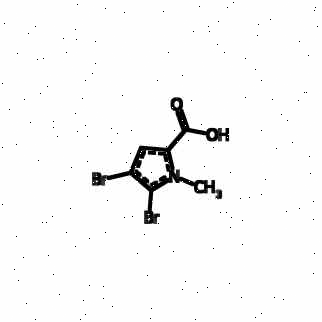 Cn1c(C(=O)O)cc(Br)c1Br